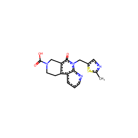 Cc1ncc(Cn2c(=O)c3c(c4cccnc42)CCN(C(=O)O)C3)s1